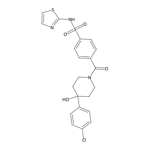 O=C(c1ccc(S(=O)(=O)Nc2nccs2)cc1)N1CCC(O)(c2ccc(Cl)cc2)CC1